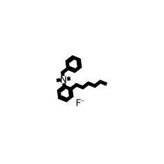 CCCCCCc1ccccc1[N+](C)(C)Cc1ccccc1.[F-]